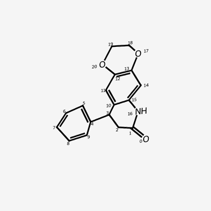 O=C1CC(c2ccccc2)c2cc3c(cc2N1)OCCO3